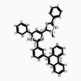 CN1N=C(c2ccccc2)SC1C1=CC(C2C=CC=CC2)NC(c2cccc(-c3cc4ccccc4c4ccccc34)c2)=N1